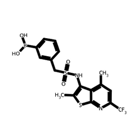 Cc1sc2nc(C(F)(F)F)cc(C)c2c1NS(=O)(=O)Cc1cccc(B(O)O)c1